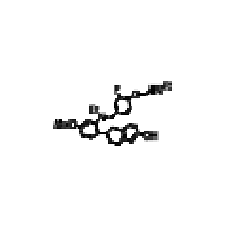 CCNCCOc1ccc(CN(CC)c2cc(OC)ccc2C2CCc3cc(O)ccc3C2)cc1F